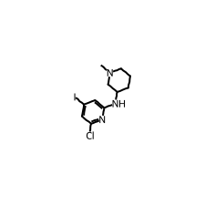 CN1CCCC(Nc2cc(I)cc(Cl)n2)C1